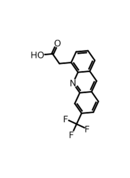 O=C(O)Cc1cccc2cc3ccc(C(F)(F)F)cc3nc12